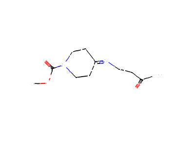 COC(=O)CCN=C1CCN(C(=O)OC(C)(C)C)CC1